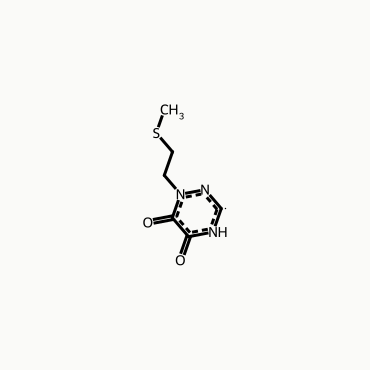 CSCCn1n[c][nH]c(=O)c1=O